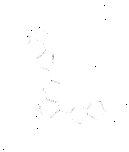 O=C(Nc1cccc(-c2ccc3ncccc3n2)c1)c1ccc(N2CCS2(=O)=O)cc1